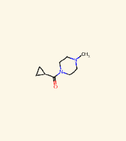 CN1CCN(C(=O)C2CC2)CC1